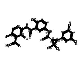 C=C(F)c1c(F)cnc(NC(=O)c2cc(NC(=O)[C@@H]3[C@@H](c4cc(Cl)cc(Cl)c4)C3(Cl)Cl)ccc2Cl)c1F